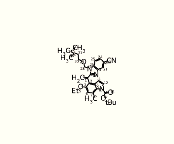 C=C(c1c(OCC)cc(C)c2c1ccn2C(=O)OC(C)(C)C)c1nc2cc(C#N)ccc2n1COCC[Si](C)(C)C